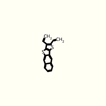 C=Cc1sc2c(sc3cc4ccccc4cc32)c1C=C